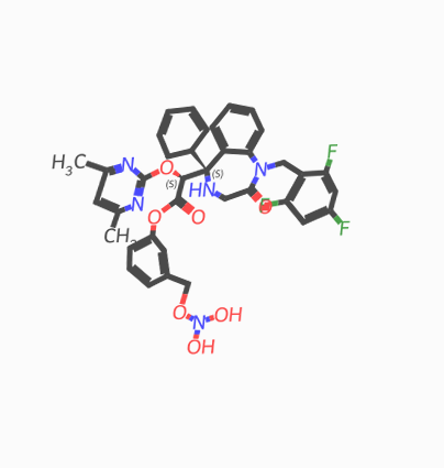 Cc1cc(C)nc(O[C@H](C(=O)Oc2cccc(CON(O)O)c2)[C@@]2(C3C=CC=CC3)NCC(=O)N(Cc3c(F)cc(F)cc3F)c3ccccc32)n1